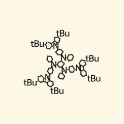 CC(C)(C)c1ccc2c(c1)c1cc(C(C)(C)C)ccc1n2-c1ccc(N(c2ccccc2)c2cc(N(c3ccccc3)c3ccc(-n4c5ccc(C(C)(C)C)cc5c5cc(C(C)(C)C)ccc54)cc3)cc(N(c3ccccc3)c3ccc(-n4c5ccc(C(C)(C)C)cc5c5cc(C(C)(C)C)ccc54)cc3)c2)cc1